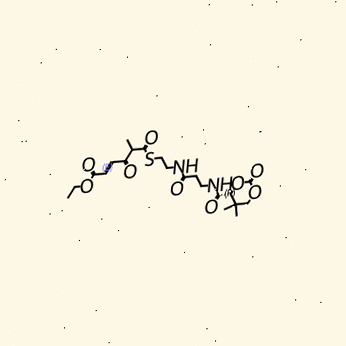 CCOC(=O)/C=C/C(=O)C(C)C(=O)SCCNC(=O)CCNC(=O)[C@@H]1OC(=O)OCC1(C)C